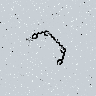 CN1CCC(CCCC2CCN(CCCCOCCCCN3CCC(CCCc4ccncc4)CC3)CC2)CC1